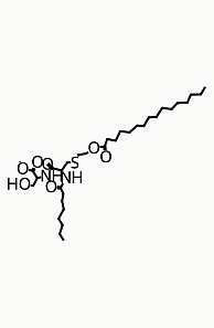 CCCCCCCCCCCCCCCC(=O)OCCSCC(NC(=O)CCCCCCC)C(=O)NC(CO)C(=O)OC